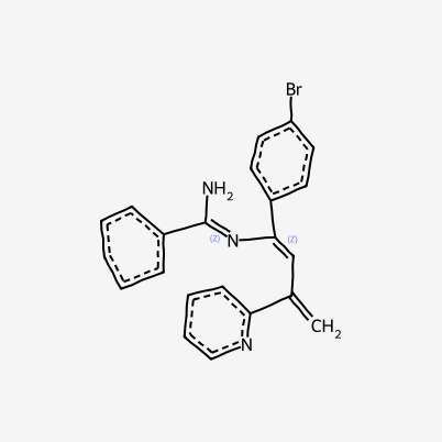 C=C(/C=C(\N=C(/N)c1ccccc1)c1ccc(Br)cc1)c1ccccn1